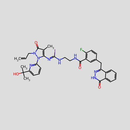 C=CCn1c(=O)c(C)c(/N=C(\I)NCCNC(=O)c2cc(Cc3n[nH]c(=O)c4ccccc34)ccc2F)n1-c1cccc(C(C)(C)O)n1